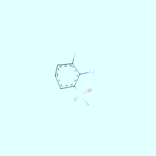 CC(C)S(=O)(=O)c1cccc(F)c1N